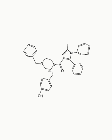 Cc1cc(C(=O)N2CCN(Cc3ccccc3)C[C@H]2Cc2ccc(O)cc2)c(-c2ccccc2)n1-c1ccccc1